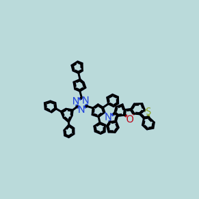 c1ccc(-c2ccc(-c3nc(-c4cc(-c5ccccc5)cc(-c5ccccc5)c4)nc(-c4cc(-c5ccccc5)c(-n5c6ccccc6c6c7oc8c(ccc9sc%10ccccc%10c98)c7ccc65)c(-c5ccccc5)c4)n3)cc2)cc1